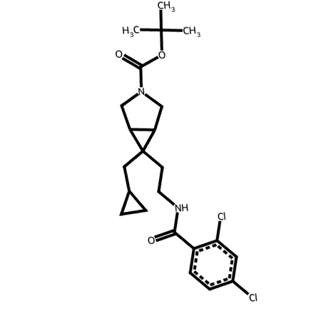 CC(C)(C)OC(=O)N1CC2C(C1)C2(CCNC(=O)c1ccc(Cl)cc1Cl)CC1CC1